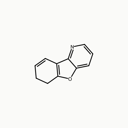 C1=Cc2c(oc3cccnc23)CC1